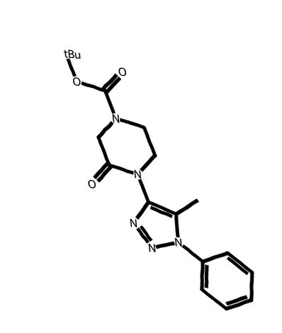 Cc1c(N2CCN(C(=O)OC(C)(C)C)CC2=O)nnn1-c1ccccc1